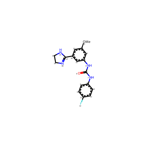 COc1cc(NC(=O)Nc2ccc(F)cc2)cc(C2=NCCN2)c1